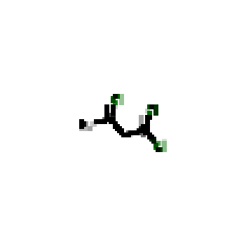 CC[SiH](Cl)C[SiH](Cl)Cl